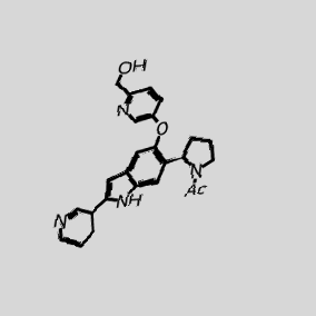 CC(=O)N1CCC[C@@H]1c1cc2[nH]c(C3C=NC=CC3)cc2cc1Oc1ccc(CO)nc1